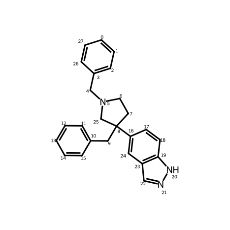 c1ccc(CN2CCC(Cc3ccccc3)(c3ccc4[nH]ncc4c3)C2)cc1